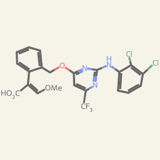 CO/C=C(/C(=O)O)c1ccccc1COc1cc(C(F)(F)F)nc(Nc2cccc(Cl)c2Cl)n1